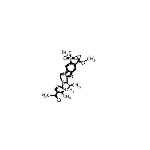 COC(=O)c1cc2nc3n(c2cc1S(C)(=O)=O)CCN(c1ncc(C(C)=O)c(C)n1)[C@@H]3C(C)C